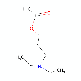 CCN(CC)CCCOC(C)=O